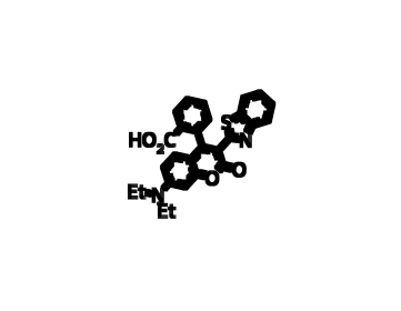 CCN(CC)c1ccc2c(-c3ccccc3C(=O)O)c(-c3nc4ccccc4s3)c(=O)oc2c1